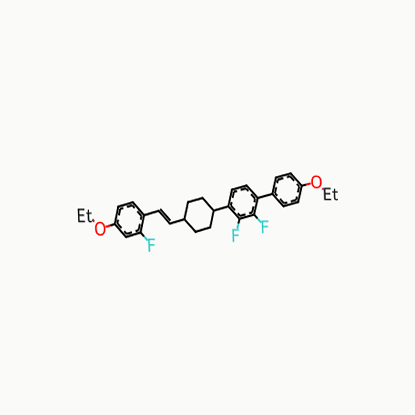 CCOc1ccc(-c2ccc(C3CCC(/C=C/c4ccc(OCC)cc4F)CC3)c(F)c2F)cc1